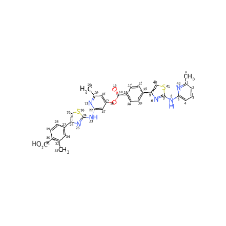 Cc1cccc(Nc2nc(-c3ccc(C(=O)Oc4cc(C)nc(Nc5nc(-c6ccc(C(=O)O)c(C)c6)cs5)c4)cc3)cs2)n1